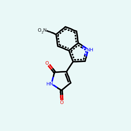 O=C1C=C(c2c[nH]c3ccc([N+](=O)[O-])cc23)C(=O)N1